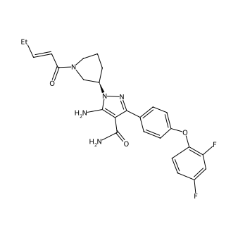 CCC=CC(=O)N1CCC[C@@H](n2nc(-c3ccc(Oc4ccc(F)cc4F)cc3)c(C(N)=O)c2N)C1